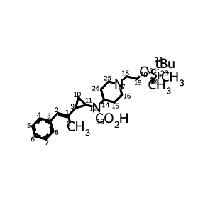 C/C(=C\c1ccccc1)C1CC1N(C(=O)O)C1CCN(CCO[Si](C)(C)C(C)(C)C)CC1